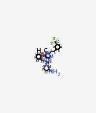 Cn1c(CCc2cccc(C(F)(F)F)c2)nc2nc(N3CCCC(N)C3)n(Cc3ccccc3)c2c1=O